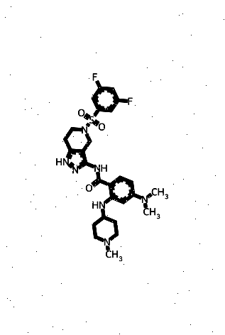 CN1CCC(Nc2cc(N(C)C)ccc2C(=O)Nc2n[nH]c3c2CN(S(=O)(=O)c2cc(F)cc(F)c2)CC3)CC1